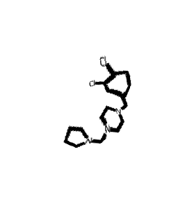 Clc1ccc(CN2CCN(CN3CCCC3)CC2)cc1Cl